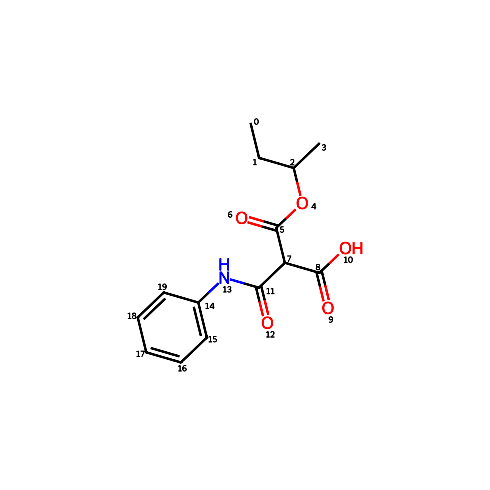 CCC(C)OC(=O)C(C(=O)O)C(=O)Nc1ccccc1